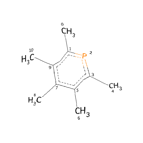 Cc1pc(C)c(C)c(C)c1C